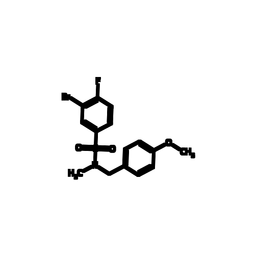 COc1ccc(CN(C)S(=O)(=O)c2ccc(F)c(Br)c2)cc1